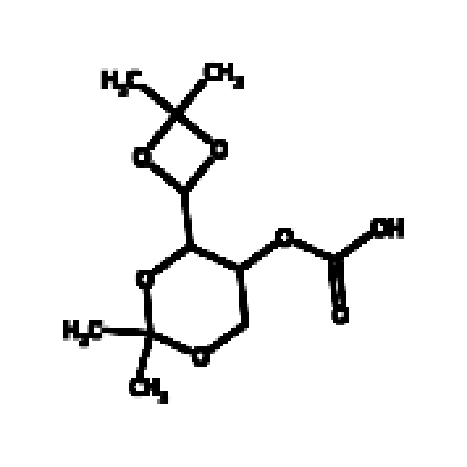 CC1(C)OC(C2OC(C)(C)OCC2OC(=O)O)O1